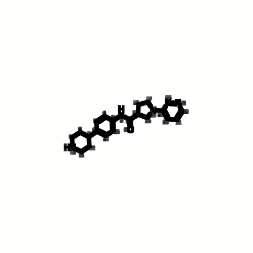 O=C(Nc1ccc(C2CCNCC2)cc1)C1CCN(c2cccnn2)C1